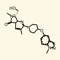 CC1=CC2C(=O)N(C)[C@H](CO)C2N=C1N1CCC(Oc2ccc3c(cnn3C)c2)CC1